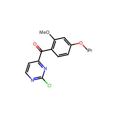 COc1cc(OC(C)C)ccc1C(=O)c1ccnc(Cl)n1